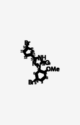 COc1ccc(Br)cc1-n1nc(-c2ccc(Br)s2)[nH]c1=O